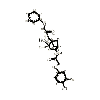 O=C(COc1ccc(Cl)c(F)c1)NC1=C2CC(NC(=O)COc3cccnc3)(C2)[C@@H](O)C1